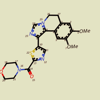 COc1cc2c(cc1OC)-c1c(-c3cnc(C(=O)N4CCOCC4)s3)ncn1CC2